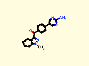 Cn1nc(C(=O)c2ccc(-c3cnc(N)nc3)cc2)c2ccccc21